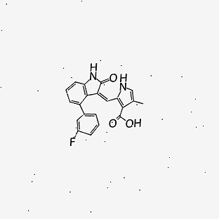 Cc1c[nH]c(/C=C2\C(=O)Nc3cccc(-c4cccc(F)c4)c32)c1C(=O)O